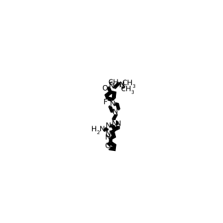 CN(C)CCN(C)C(=O)c1ccc(N2CCN(CCn3ncc4c3nc(N)n3nc(-c5ccco5)cc43)CC2)c(F)c1